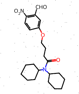 O=Cc1cc(OCCCC(=O)N(C2CCCCC2)C2CCCCC2)ccc1[N+](=O)[O-]